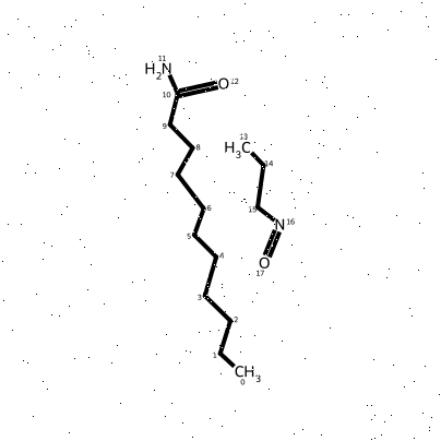 CCCCCCCCCCC(N)=O.CCCN=O